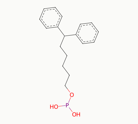 OP(O)OCCCCCC(c1ccccc1)c1ccccc1